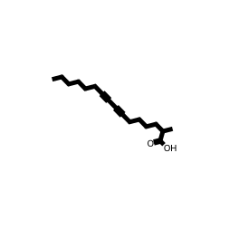 CCCCCCC#CC#CCCCCC(C)C(=O)O